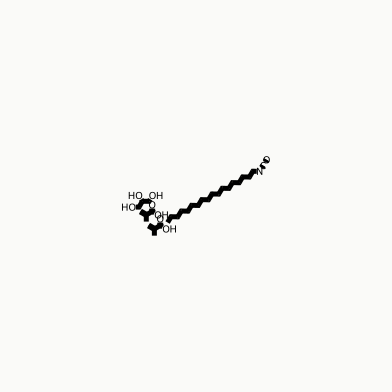 C=C(C)C(=O)O.C=C(C)C(=O)O.CCCCCCCCCCCCCCCCCCN=C=O.OCC(O)CO